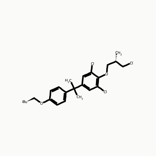 CC[C@H](C)COc1ccc(C(C)(C)c2cc(Cl)c(OC[C@H](C)CCl)c(Cl)c2)cc1